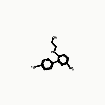 Nc1ccc(-c2cc(N)ccc2NCCO)cc1